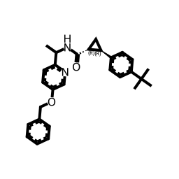 CC(NC(=O)[C@@H]1C[C@H]1c1ccc(C(C)(C)C)cc1)c1ccc(OCc2ccccc2)cn1